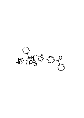 O=C(c1ccccc1)c1ccc(-c2cc3c(s2)CN([C@@H](C(=O)NO)c2ccccc2)S3(=O)=O)cc1